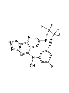 CN(c1cc(F)cc(C#CC2(C(F)(F)F)CC2)c1)c1nc2nncn2c2ncc(F)cc12